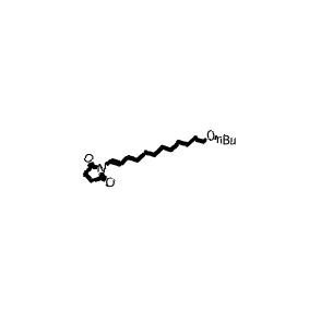 CCCCOCCCCCCCCCCC=CN1C(=O)CCC1=O